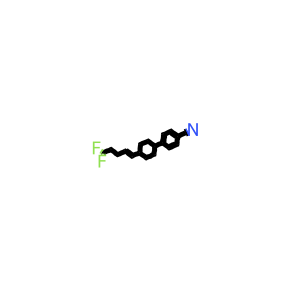 N#Cc1ccc(C2CCC(C=CCCC(F)F)CC2)cc1